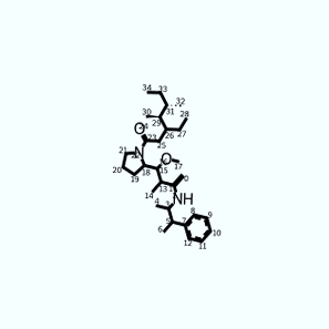 C=C(NC(C)C(C)c1ccccc1)C(C)C(OC)C1CCCN1C(=O)CC(CC)[C@@H](C)[C@@H](C)CC